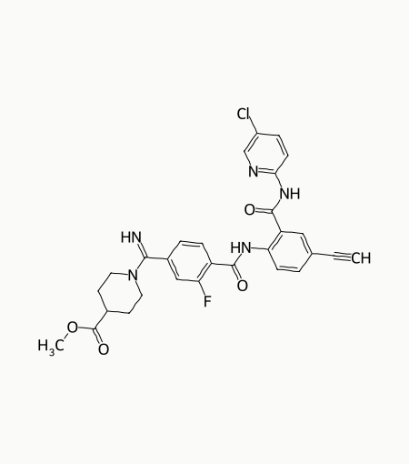 C#Cc1ccc(NC(=O)c2ccc(C(=N)N3CCC(C(=O)OC)CC3)cc2F)c(C(=O)Nc2ccc(Cl)cn2)c1